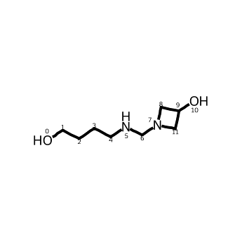 OCCCCNCN1CC(O)C1